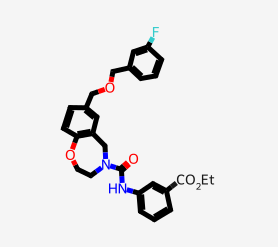 CCOC(=O)c1cccc(NC(=O)N2CCOc3ccc(COCc4cccc(F)c4)cc3C2)c1